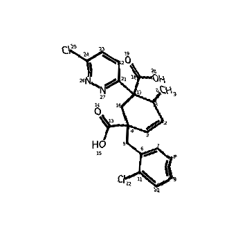 CC1C=CC(Cc2ccccc2Cl)(C(=O)O)CC1(C(=O)O)c1ccc(Cl)nn1